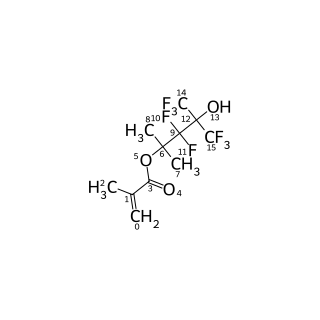 C=C(C)C(=O)OC(C)(C)C(F)(F)C(O)(C(F)(F)F)C(F)(F)F